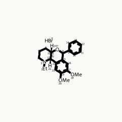 Br.CCN1CCC[C@@H]2OC(c3ccccc3)c3cc(OC)c(OC)cc3[C@@H]21